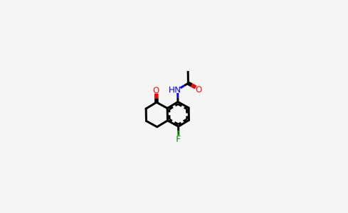 CC(=O)Nc1ccc(F)c2c1C(=O)CCC2